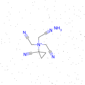 N.N#CC[N+](CC#N)(CC#N)C1(C#N)CC1